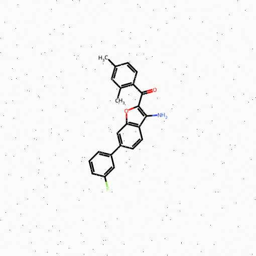 Cc1ccc(C(=O)c2oc3cc(-c4cccc(F)c4)ccc3c2N)c(C)c1